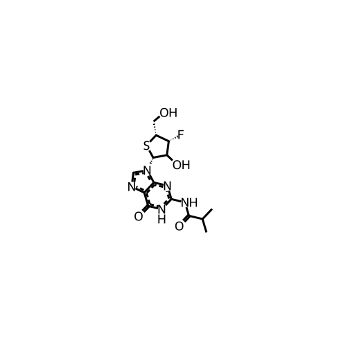 CC(C)C(=O)Nc1nc2c(ncn2[C@@H]2S[C@H](CO)[C@H](F)C2O)c(=O)[nH]1